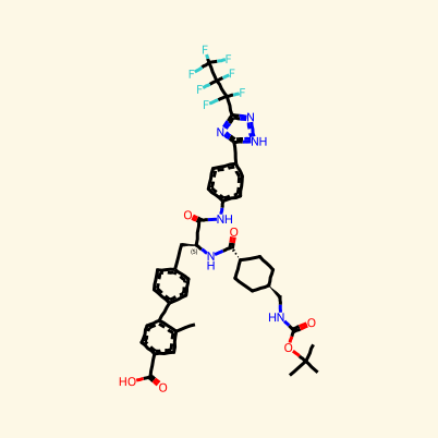 Cc1cc(C(=O)O)ccc1-c1ccc(C[C@H](NC(=O)[C@H]2CC[C@H](CNC(=O)OC(C)(C)C)CC2)C(=O)Nc2ccc(-c3nc(C(F)(F)C(F)(F)C(F)(F)F)n[nH]3)cc2)cc1